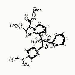 CCCCN(CC(F)(F)F)c1ccc(CC(N)(c2cccc(N(C(=O)OC(C)(C)C)C(C(=O)O)C(C)(C)C)n2)S(=O)(=O)c2ccccn2)cc1